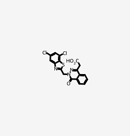 O=C(O)Cc1nn(Cc2nc3cc(Cl)cc(Cl)c3s2)c(=O)c2ccccc12